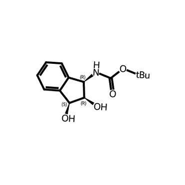 CC(C)(C)OC(=O)N[C@@H]1c2ccccc2[C@H](O)[C@@H]1O